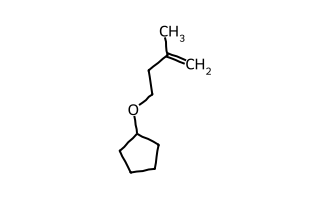 C=C(C)CCOC1CCCC1